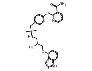 CC(C)(Cc1ccc(Oc2ncccc2C(N)=O)cc1)NCC(O)COc1cccc2[nH]ncc12